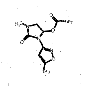 CCCC(=O)OC1CN(C)C(=O)N1c1cc(C(C)(C)C)on1